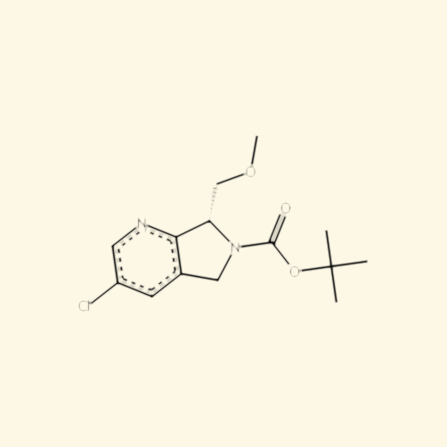 COC[C@H]1c2ncc(Cl)cc2CN1C(=O)OC(C)(C)C